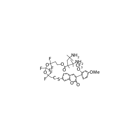 COc1ccc(-c2cc3ccc(SCCC(F)(F)OC(F)(F)OC(F)(F)CCOC(=O)C(C)(CC(C)(C)N)C(C)(C)N)cc3oc2=O)c(OC(F)(F)F)c1